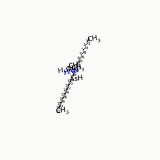 CCCCCCCCCCCCCC/N=C(/CC[AsH]CCCCCCCCCCCCCC)NC(C)(C)C